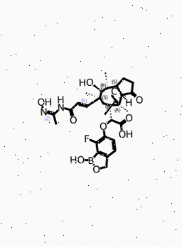 C/C(=N/O)NC(=O)/C=C/[C@]1(C)C[C@@H](C(Oc2ccc3c(c2F)B(O)OC3)C(=O)O)[C@@]2(C)[C@H](C)CC[C@]3(CCC(=O)[C@H]32)[C@@H](C)[C@@H]1O